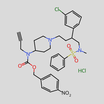 C#CCN(C(=O)OCc1ccc([N+](=O)[O-])cc1)C1CCN(CCC(CN(C)S(=O)(=O)c2ccccc2)c2cccc(Cl)c2)CC1.Cl